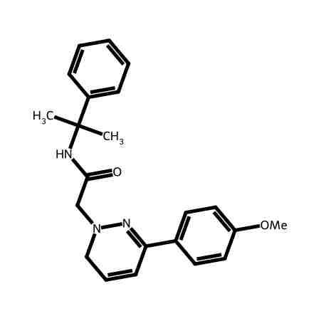 COc1ccc(C2=NN(CC(=O)NC(C)(C)c3ccccc3)CC=C2)cc1